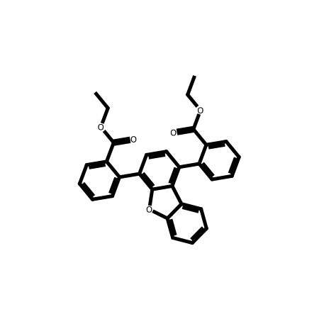 CCOC(=O)c1ccccc1-c1ccc(-c2ccccc2C(=O)OCC)c2c1oc1ccccc12